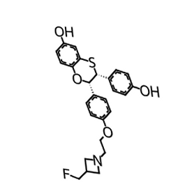 Oc1ccc([C@H]2Sc3cc(O)ccc3O[C@H]2c2ccc(OCCN3CC(CF)C3)cc2)cc1